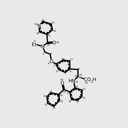 CCN(CCOc1ccc(C[C@H](Nc2ccccc2C(=O)c2ccccc2)C(=O)O)cc1)C(=O)c1cccnc1